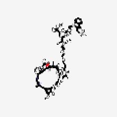 CNN(C)Cc1cc2ccccc2n1COC(=O)N[C@@H](CCC(=O)O)C(=O)NCCOCCOCCC(=O)N(C)[C@@H](C)C(=O)O[C@H]1CC(=O)N(C)c2cc(cc(OC)c2Cl)C/C(C)=C/C=C/[C@@H](OC)[C@@]2(O)C[C@H](OC(=O)N2)[C@@H](C)C2O[C@]21C